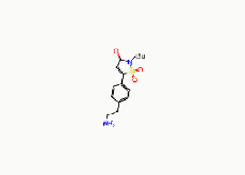 CC(C)(C)N1C(=O)C=C(c2ccc(CCN)cc2)S1(=O)=O